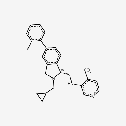 O=C(O)c1ccncc1NC[C@H]1c2ccc(-c3ccccc3F)cc2CN1CC1CC1